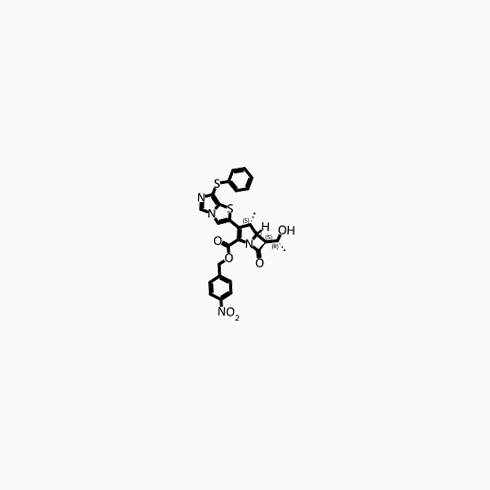 C[C@@H](O)[C@H]1C(=O)N2C(C(=O)OCc3ccc([N+](=O)[O-])cc3)=C(c3cn4cnc(Sc5ccccc5)c4s3)[C@H](C)[C@H]12